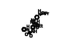 CCNS(=O)(=O)c1cc(Nc2c(Nc3ccccc3)c(=O)c2=O)ccc1-c1nnc(C2CCC(NCOC(C)C)CC2)s1